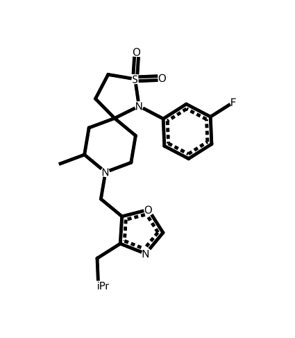 CC(C)Cc1ncoc1CN1CCC2(CCS(=O)(=O)N2c2cccc(F)c2)CC1C